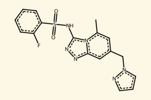 Cc1cc(Cn2cccn2)cc2nnc(NS(=O)(=O)c3ccccc3F)n12